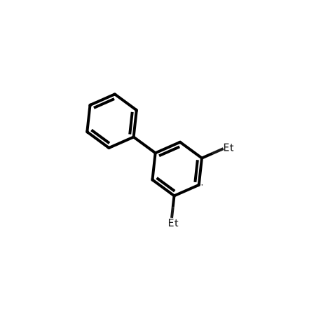 CCc1[c]c(CC)cc(-c2ccccc2)c1